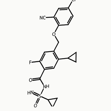 N#Cc1cc(Cl)ccc1OCc1cc(F)c(C(=O)NS(=N)(=O)C2CC2)cc1C1CC1